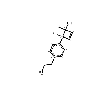 CC1(O)C=C[N+]1([O-])c1ccc(CCO)cc1